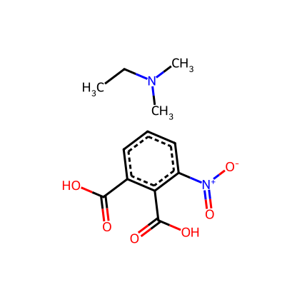 CCN(C)C.O=C(O)c1cccc([N+](=O)[O-])c1C(=O)O